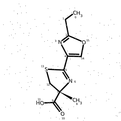 CCc1nc(C2=N[C@](C)(C(=O)O)CS2)co1